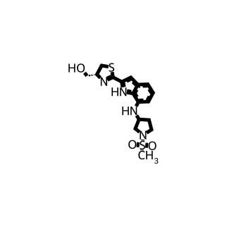 CS(=O)(=O)N1CCC(Nc2cccc3cc(C4=N[C@H](CO)CS4)[nH]c23)C1